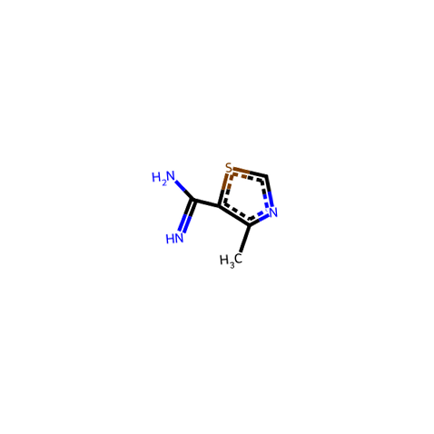 Cc1ncsc1C(=N)N